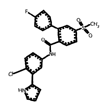 CS(=O)(=O)c1ccc(C(=O)Nc2ccc(Cl)c(-c3ccc[nH]3)c2)c(-c2ccc(F)cc2)c1